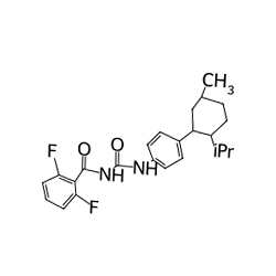 CC1CCC(C(C)C)C(c2ccc(NC(=O)NC(=O)c3c(F)cccc3F)cc2)C1